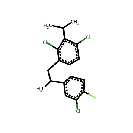 CC(C)c1c(Cl)ccc(CC(C)c2ccc(F)c(Cl)c2)c1Cl